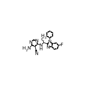 C[C@H](Nc1ncnc(N)c1C#N)c1nc2ccc(F)cc2n1-c1ccccc1